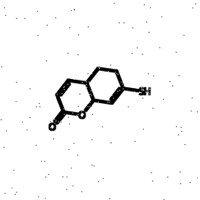 O=C1C=CC2CCC(S)=CC2O1